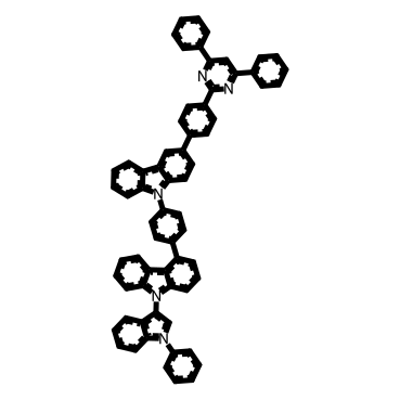 c1ccc(-c2cc(-c3ccccc3)nc(-c3ccc(-c4ccc5c(c4)c4ccccc4n5-c4ccc(-c5cccc6c5c5ccccc5n6-c5cn(-c6ccccc6)c6ccccc56)cc4)cc3)n2)cc1